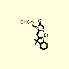 CC[N+]1=C(/C=C2\SCC(=O)N2COC=O)C(C)(C)c2ccccc21